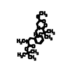 COC(=O)CN(Cc1ccccc1CN(C)C(=O)OC(C)(C)C)C(=O)C(C)(C)C